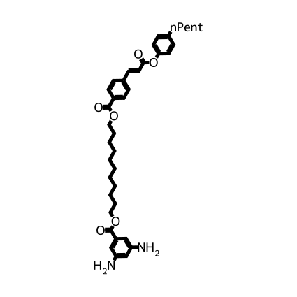 CCCCCc1ccc(OC(=O)C=Cc2ccc(C(=O)OCCCCCCCCCCCOC(=O)c3cc(N)cc(N)c3)cc2)cc1